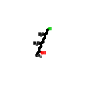 CC[C@H](O)CC/C(C)=C/CC/C(C)=C/CCl